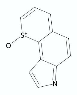 [O-][s+]1cccc2ccc3nccc3c21